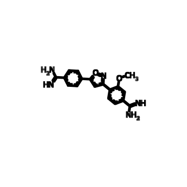 COc1cc(C(=N)N)ccc1-c1cc(-c2ccc(C(=N)N)cc2)on1